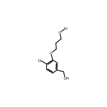 CCOCCCOc1cc(CO)ccc1Cl